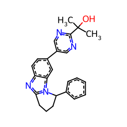 CC(C)(O)c1ncc(-c2ccc3nc4n(c3c2)C(c2ccccc2)CCC4)cn1